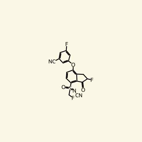 N#CN=S(=O)(CF)c1ccc(Oc2cc(F)cc(C#N)c2)c2c1C(=O)C(F)C2